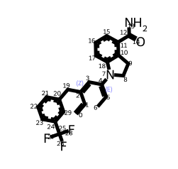 C=C/C(=C\C(=C/C)N1CCc2c(C(N)=O)cccc21)Cc1cccc(C(F)(F)F)c1